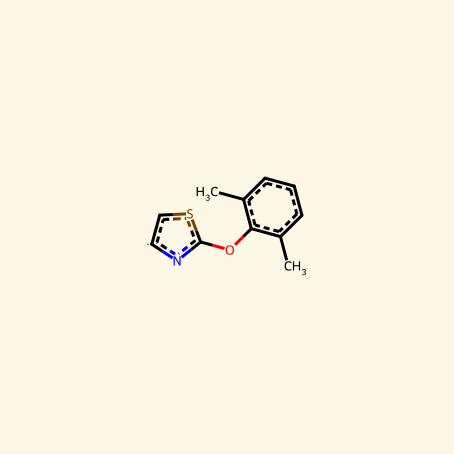 Cc1cccc(C)c1Oc1n[c]cs1